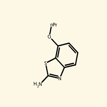 CCCOc1cccc2nc(N)sc12